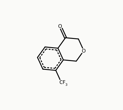 O=C1COCc2c1cccc2C(F)(F)F